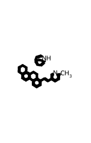 C1=CC2=CC=C(CC2)N1.Cc1ccc(/C=C/c2cccc3c2CCc2c-3ccc3c2CCC=C3)cn1